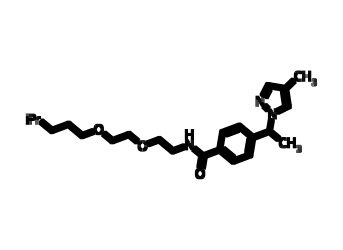 Cc1cnn(C(C)c2ccc(C(=O)NCCOCCOCCCC(C)C)cc2)c1